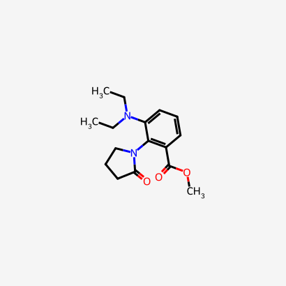 CCN(CC)c1cccc(C(=O)OC)c1N1CCCC1=O